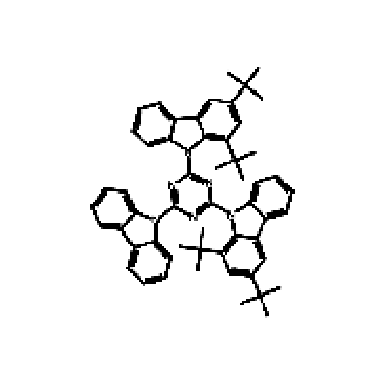 CC(C)(C)c1cc(C(C)(C)C)c2c(c1)c1ccccc1n2-c1nc(-n2c3ccccc3c3ccccc32)nc(-n2c3ccccc3c3cc(C(C)(C)C)cc(C(C)(C)C)c32)n1